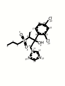 CCCS(=O)(=O)C(C)C(O)(Cn1cncn1)c1ccc(Cl)cc1Cl